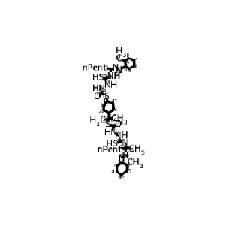 CCCCCC(N=NC1CCCCC1C)NC(S)NNC(=O)SC1CCC(C(C)(C)SC(=O)NNC(S)NC(C)(CCCCC)N=NC2CCCCC2C)CC1